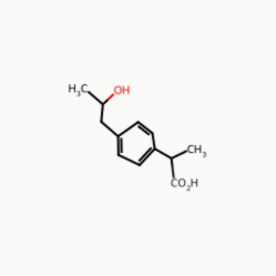 CC(O)Cc1ccc(C(C)C(=O)O)cc1